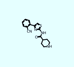 N#Cc1ccccc1-c1csc(NC(=O)C2CCNCC2)n1